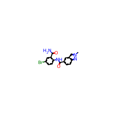 Cn1cc2cc(C(=O)Nc3ccc(Br)cc3C(N)=O)ccc2n1